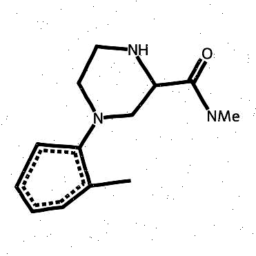 CNC(=O)C1CN(c2ccccc2C)CCN1